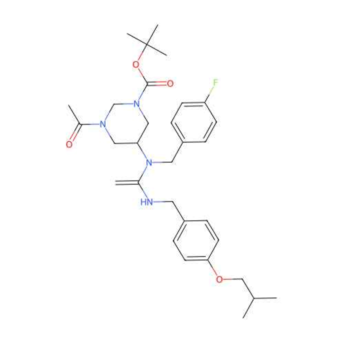 C=C(NCc1ccc(OCC(C)C)cc1)N(Cc1ccc(F)cc1)C1CN(C(C)=O)CN(C(=O)OC(C)(C)C)C1